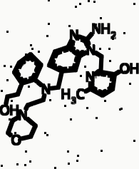 Cc1ccc(O)c(Cn2c(N)nc3ccc(CN(CCN4CCOCC4)c4ccccc4CCO)cc32)n1